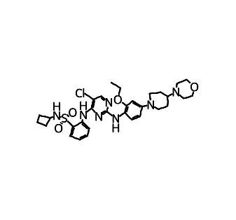 CCOc1cc(N2CCC(N3CCOCC3)CC2)ccc1Nc1ncc(Cl)c(Nc2ccccc2S(=O)(=O)NC2CCC2)n1